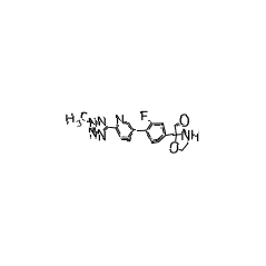 Cn1nnc(-c2ccc(-c3ccc(C4(C=O)NCCO4)cc3F)cn2)n1